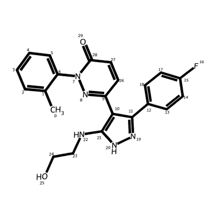 Cc1ccccc1-n1nc(-c2c(-c3ccc(F)cc3)n[nH]c2NCCO)ccc1=O